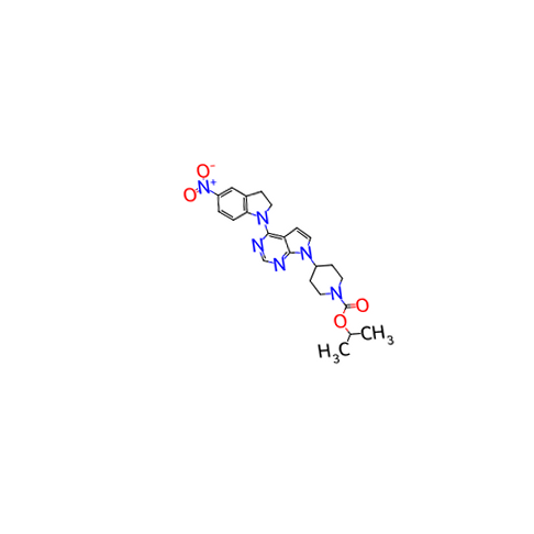 CC(C)OC(=O)N1CCC(n2ccc3c(N4CCc5cc([N+](=O)[O-])ccc54)ncnc32)CC1